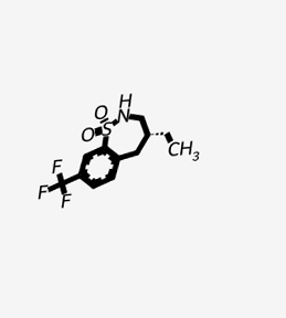 CC[C@H]1CNS(=O)(=O)c2cc(C(F)(F)F)ccc2C1